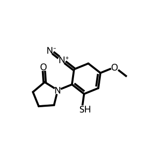 COC1=CC(S)=C(N2CCCC2=O)C(=[N+]=[N-])C1